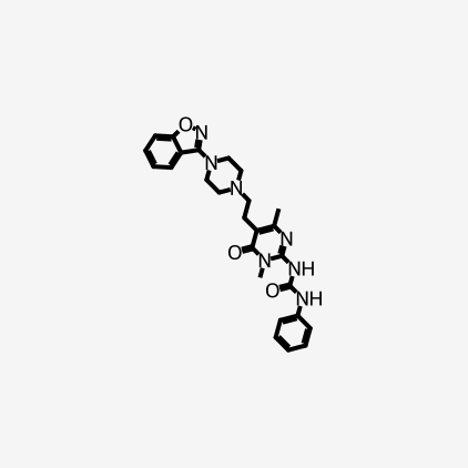 Cc1nc(NC(=O)Nc2ccccc2)n(C)c(=O)c1CCN1CCN(c2noc3ccccc23)CC1